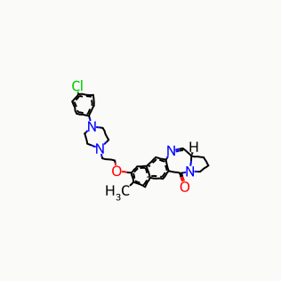 Cc1cc2cc3c(cc2cc1OCCN1CCN(c2ccc(Cl)cc2)CC1)N=C[C@@H]1CCCN1C3=O